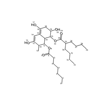 CCCCCCC(=O)OC1C(C)C(O)=CC2=C(O)CC(O)C(OC(=O)C(CCCC)CCCC)C21